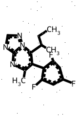 CCC(C)c1c(-c2c(F)cc(F)cc2F)c(C)nc2ncnn12